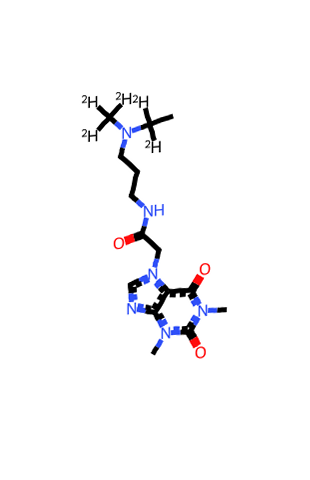 [2H]C([2H])([2H])N(CCCNC(=O)Cn1cnc2c1c(=O)n(C)c(=O)n2C)C([2H])([2H])C